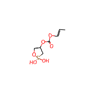 CC=COC(=O)OC1COS(O)(O)C1